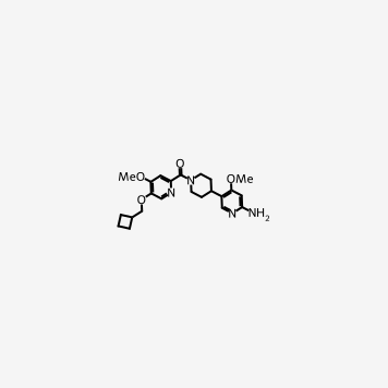 COc1cc(C(=O)N2CCC(c3cnc(N)cc3OC)CC2)ncc1OCC1CCC1